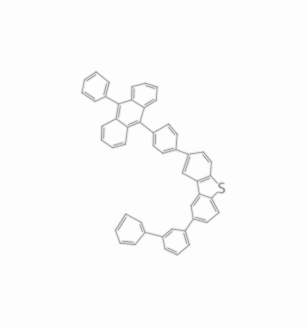 c1ccc(-c2cccc(-c3ccc4sc5ccc(-c6ccc(-c7c8ccccc8c(-c8ccccc8)c8ccccc78)cc6)cc5c4c3)c2)cc1